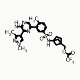 Cc1ccc(S(=O)(=O)NC23CCC(COC(=O)C(F)(F)F)(C2)C3)cc1-c1cnc(N)c(-c2cn(C)nc2C)n1